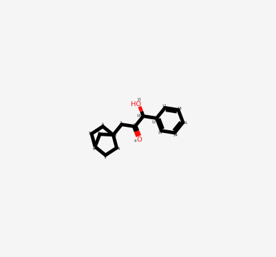 O=C(CC12CCC(CC1)C2)C(O)c1ccccc1